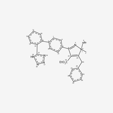 CCC[N+]1(C)N=C(c2ccc(-c3ccccc3-c3nnn[nH]3)cc2)C(C(=O)OCC)=C1Cc1ccccc1